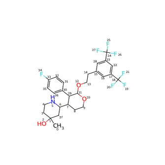 CC1(O)CCNC(C2CCOC(OCCc3cc(C(F)(F)F)cc(C(F)(F)F)c3)C2c2ccc(F)cc2)C1